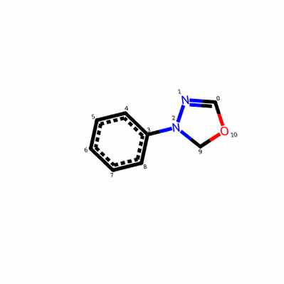 C1=NN(c2ccccc2)CO1